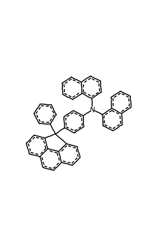 c1ccc(C2(c3ccc(N(c4cccc5ccccc45)c4cccc5ccccc45)cc3)c3cccc4ccc5cccc2c5c34)cc1